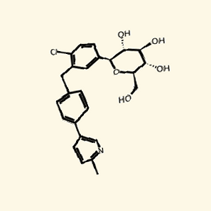 Cc1ccc(-c2ccc(Cc3cc([C@@H]4O[C@H](CO)[C@@H](O)[C@H](O)[C@H]4O)ccc3Cl)cc2)cn1